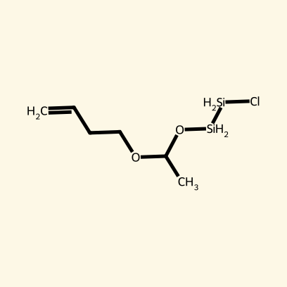 C=CCCOC(C)O[SiH2][SiH2]Cl